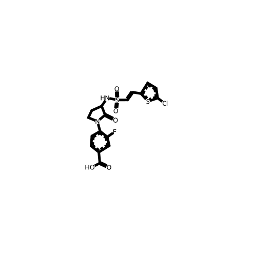 O=C(O)c1ccc(N2CCC(NS(=O)(=O)/C=C/c3ccc(Cl)s3)C2=O)c(F)c1